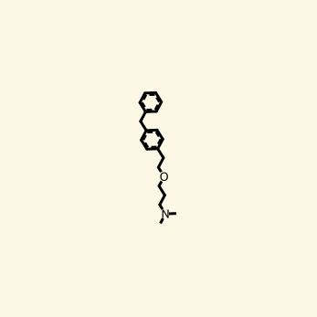 CN(C)CCCOCCc1ccc(Cc2ccccc2)cc1